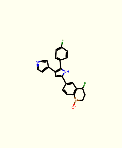 [O-][S+]1CCC(F)c2cc(-c3cc(-c4ccncc4)c(-c4ccc(F)cc4)[nH]3)ccc21